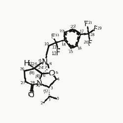 CC(C)[C@H]1CO[C@]23CCN(CC(F)(F)c4ccc(C(F)(F)F)cc4)C[C@H]2CCC(=O)N13